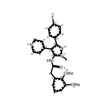 COc1cccc(CC(=O)Nc2c(-c3ccncc3)c(-c3ccc(F)cc3)nn2C)c1OC